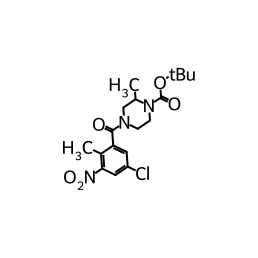 Cc1c(C(=O)N2CCN(C(=O)OC(C)(C)C)C(C)C2)cc(Cl)cc1[N+](=O)[O-]